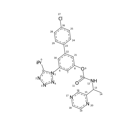 CC(C)c1nnnn1-c1cc(OC(=O)NC(C)c2cnccn2)cc(-c2ccc(Cl)cc2)c1